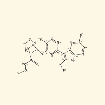 CONC(=O)C1C2CCC(CC2)C1Nc1nc(-c2c(CO)[nH]c3ncc(F)cc23)ncc1F